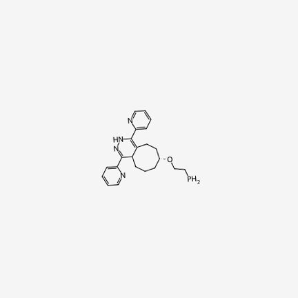 PCCO[C@@H]1CCCC2C(c3ccccn3)=NNC(c3ccccn3)=C2CC1